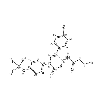 CCCC(=O)Nc1cc(=O)n(-c2ccc(OC(F)(F)F)cc2)cc1-c1ccc(F)cc1